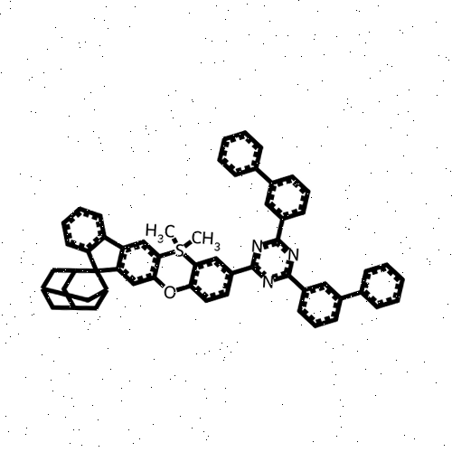 CS1(C)c2cc(-c3nc(-c4cccc(-c5ccccc5)c4)nc(-c4cccc(-c5ccccc5)c4)n3)ccc2Oc2cc3c(cc21)-c1ccccc1C31C2CC3CC(C2)CC1C3